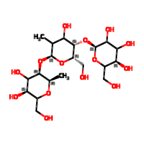 CC1C(O)[C@H](O[C@@H]2OC(CO)[C@H](O)C(O)C2O)[C@H](CO)O[C@H]1O[C@@H]1C(O)[C@H](O)C(CO)O[C@@H]1C